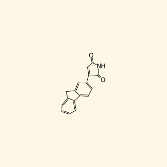 O=C1C=C(c2ccc3c(c2)Cc2ccccc2-3)C(=O)N1